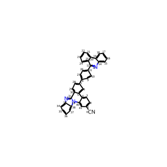 N#Cc1ccc2c3cc(-c4ccc(-c5nc6ccccc6c6ccccc56)cc4)ccc3c3nc4ccccc4n3c2c1